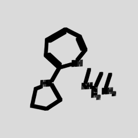 C1=CC=C([SiH]2CCCC2)NC=C1.CN.CN.CN